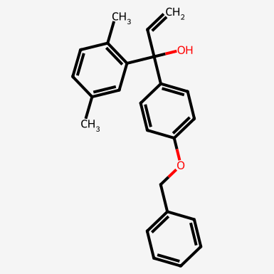 C=CC(O)(c1ccc(OCc2ccccc2)cc1)c1cc(C)ccc1C